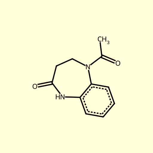 CC(=O)N1CCC(=O)Nc2ccccc21